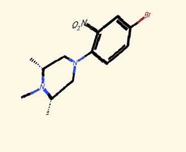 C[C@@H]1CN(c2ccc(Br)cc2[N+](=O)[O-])C[C@H](C)N1C